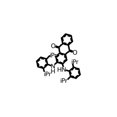 CC(C)c1cccc(C(C)C)c1Nc1cc2c(cc1Nc1c(C(C)C)cccc1C(C)C)C(=O)c1ccccc1C2=O